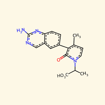 Cc1ccn(C(C)C(=O)O)c(=O)c1-c1ccc2nc(N)ncc2c1